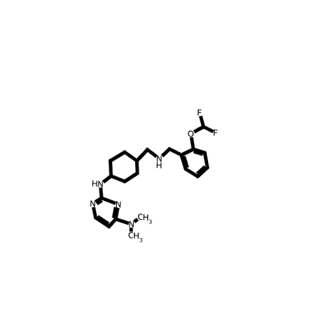 CN(C)c1ccnc(NC2CCC(CNCc3ccccc3OC(F)F)CC2)n1